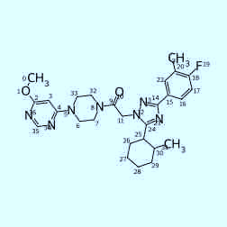 COc1cc(N2CCN(C(=O)Cn3nc(-c4ccc(F)c(C)c4)nc3C3CCCCC3C)CC2)ncn1